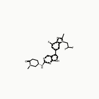 Cc1nc2c(F)cc(-c3c[nH]c4nc(N[C@H]5CCC(=O)N(C)C5)ncc34)cc2n1CC(F)F